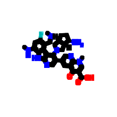 C/N=C\c1c(F)cc(NC)c2[nH]c3ncc(-c4cnc5c(c4)c(=O)c(C(=O)O)cn5C)c(N4C[C@H]5CC[C@@H](N)[C@H]5C4)c3c12